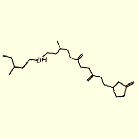 C=C(CCC(=C)CCC1CCC(=C)C1)CCC(C)CCBCCC(C)CC